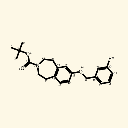 CC(C)(C)OC(=O)N1CCc2ccc(OCc3cccc(F)c3)cc2CC1